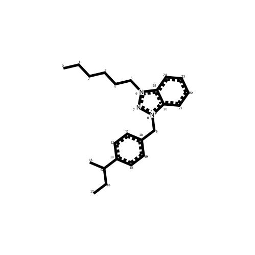 CCCCCCn1n[n+](Cc2ccc(C(C)CC)cc2)c2ccccc21